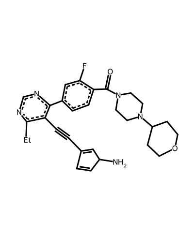 CCc1ncnc(-c2ccc(C(=O)N3CCN(C4CCOCC4)CC3)c(F)c2)c1C#CC1=CC(N)C=C1